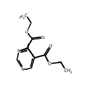 CCOC(=O)c1cncnc1C(=O)OCC